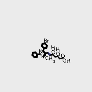 Cc1nc(-c2ccccc2)nc(-c2ccc(Br)cc2)c1/C=C/C(O)CC(O)CC(=O)O